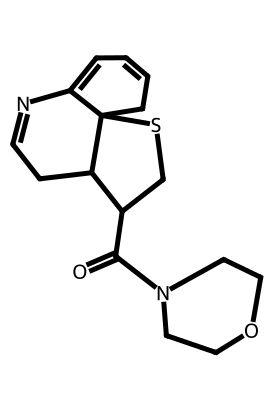 O=C(C1CSC23CC=CC=C2N=CCC13)N1CCOCC1